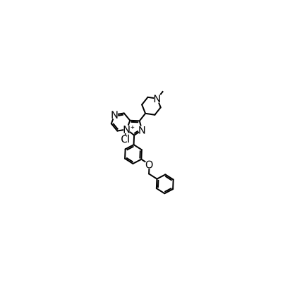 CN1CCC(C2=C3C=NC=C[N+]3(Cl)C(c3cccc(OCc4ccccc4)c3)=N2)CC1